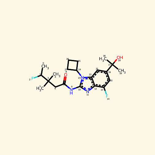 CC(F)C(C)(C)CC(=O)Nc1nc2c(F)cc(C(C)(C)O)cc2n1C1CCC1